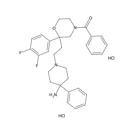 Cl.Cl.NC1(c2ccccc2)CCN(CCC2(c3ccc(F)c(F)c3)CN(C(=O)c3ccccc3)CCO2)CC1